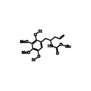 C=CCC(Cc1cc(OCC)c(OC)c(OC)c1OCC)NC(=O)OC(C)(C)C